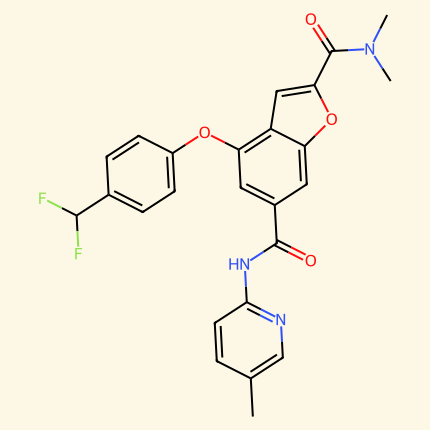 Cc1ccc(NC(=O)c2cc(Oc3ccc(C(F)F)cc3)c3cc(C(=O)N(C)C)oc3c2)nc1